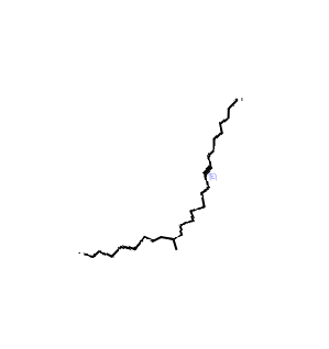 [CH2]CCCCCCC/C=C/CCCCCCCC(C)CCCCCCCC[CH2]